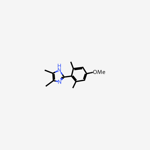 COc1cc(C)c(-c2nc(C)c(C)[nH]2)c(C)c1